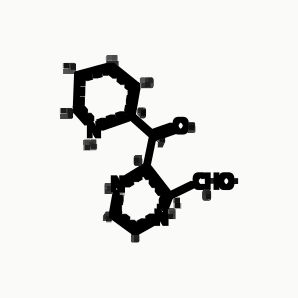 O=[C]c1nccnc1C(=O)c1ccccn1